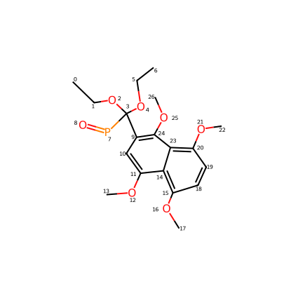 CCOC(OCC)(P=O)c1cc(OC)c2c(OC)ccc(OC)c2c1OC